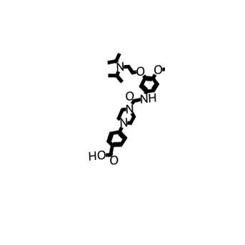 COc1ccc(NC(=O)N2CCN(c3ccc(C(=O)O)cc3)CC2)cc1OCCN(C(C)C)C(C)C